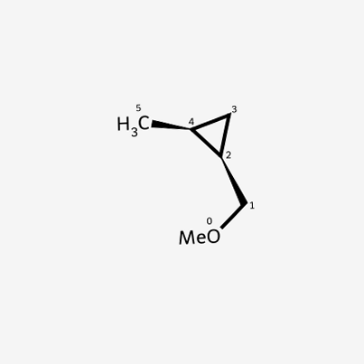 COC[C@@H]1C[C@@H]1C